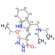 CCOC1=NNC(=O)C1=Cc1[nH]c2c(c1CN(CC)CC)CCCC2